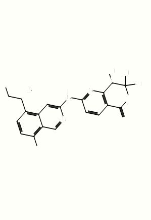 CC[C@H](N)c1ccc(Cl)c2cnc(Nc3ccc4c(n3)[C@@H](C)C(C)(C)OC4=O)cc12